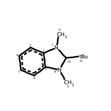 CN1c2ccccc2N(C)C1C(C)(C)C